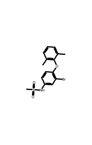 Cc1cccc(C)c1Oc1ccc(NS(C)(=O)=O)cc1Br